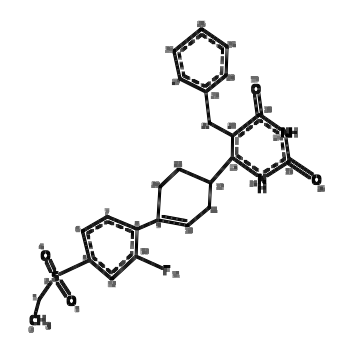 CCS(=O)(=O)c1ccc(C2=CCC(c3[nH]c(=O)[nH]c(=O)c3Cc3ccccc3)CC2)c(F)c1